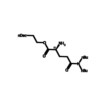 CCCCCCCCCCCCOC(=O)[C@@H](N)CCC(=O)N(CCCC)CCCC